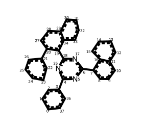 c1ccc(-c2nc(-c3cccc4ccccc34)nc(-c3c(-c4ccccc4)ccc4ccccc34)n2)cc1